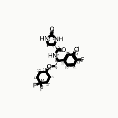 O=C1NC[C@@H](C(=O)N[C@@H](COC2CCC(F)(F)CC2)c2ccc(F)c(Cl)c2)N1